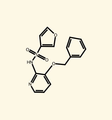 O=S(=O)(Nc1ncccc1OCc1ccccc1)c1ccoc1